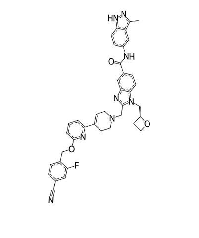 Cc1n[nH]c2ccc(NC(=O)c3ccc4c(c3)nc(CN3CC=C(c5cccc(OCc6ccc(C#N)cc6F)n5)CC3)n4C[C@@H]3CCO3)cc12